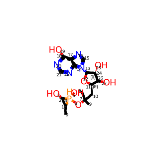 CC1C(O)[PH]1(O)OC(C)(C)C[C@H]1OC(n2cnc3c(O)ncnc32)[C@H](O)C1O